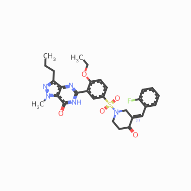 CCCc1nn(C)c2c(=O)[nH]c(-c3cc(S(=O)(=O)N4CCC(=O)/C(=C/c5ccccc5F)C4)ccc3OCC)nc12